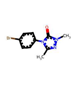 Cc1nn(C)c(=O)n1-c1ccc(Br)cc1